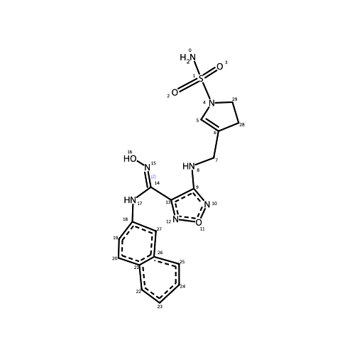 NS(=O)(=O)N1C=C(CNc2nonc2/C(=N/O)Nc2ccc3ccccc3c2)CC1